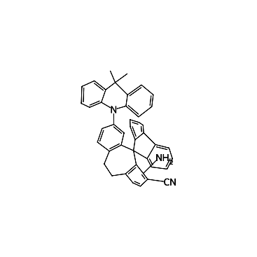 CC1(C)c2ccccc2N(c2ccc3c(c2)C2(c4ccccc4-c4ccccc42)c2c(ccc(C#N)c2N)CC3)c2ccccc21